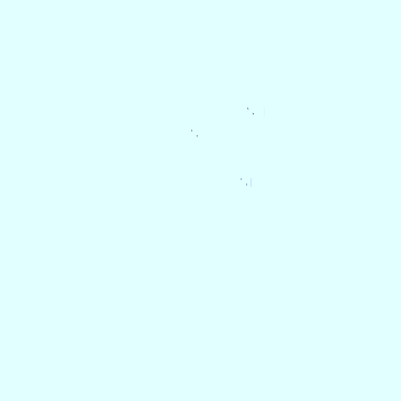 COc1ccc(CN2CCNC2=N)cc1